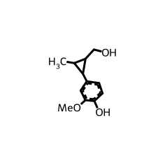 COc1cc(C2C(C)C2CO)ccc1O